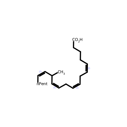 CCCCC/C=C\C(C)/C=C\C/C=C\C/C=C\CCCC(=O)O